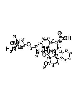 COc1ccc(C2CCCCC2)c2c1cc1n2CC2=C(C(=O)O)C2=C2C=CC[C@@H](C(=O)N(C)CCOCCN(C)S(N)(=O)=O)[C@@H]21